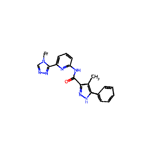 Cc1c(C(=O)Nc2cccc(-c3nncn3C(C)C)n2)n[nH]c1-c1ccccc1